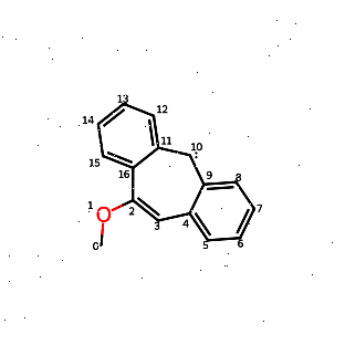 COC1=Cc2ccccc2[C]c2ccccc21